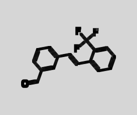 O=Cc1cccc(/C=C/c2ccccc2C(F)(F)F)c1